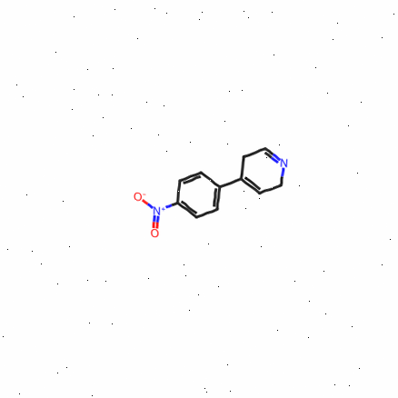 O=[N+]([O-])c1ccc(C2=CCN=CC2)cc1